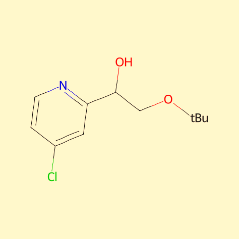 CC(C)(C)OCC(O)c1cc(Cl)ccn1